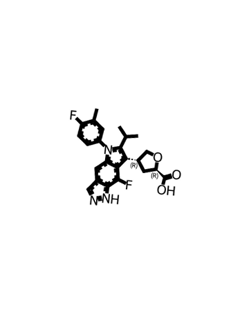 Cc1cc(-n2c(C(C)C)c([C@@H]3CO[C@@H](C(=O)O)C3)c3c(F)c4[nH]ncc4cc32)ccc1F